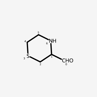 O=CC1CSCCN1